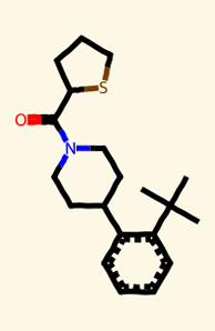 CC(C)(C)c1ccccc1C1CCN(C(=O)C2CCCS2)CC1